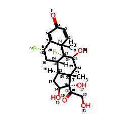 C[C@]12C=CC(=O)C=C1[C@@H](F)C[C@H]1[C@@H]3CC(O)[C@](O)(C(=O)CO)[C@@]3(C)C[C@H](O)[C@@]12F